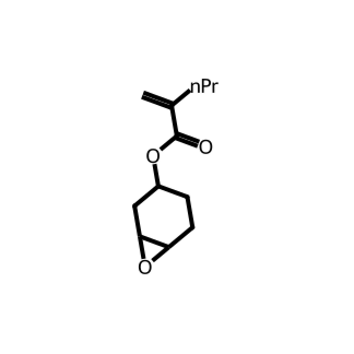 C=C(CCC)C(=O)OC1CCC2OC2C1